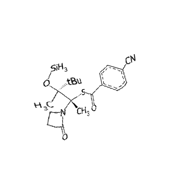 CC(C)(C)[C@](C)(O[SiH3])[C@](C)(SC(=O)c1ccc(C#N)cc1)N1CCC1=O